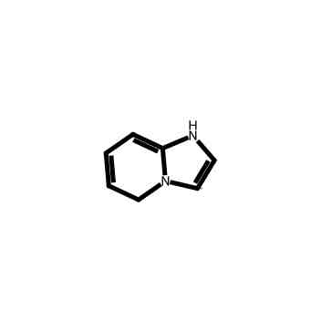 [C]1=CNC2=CC=CCN12